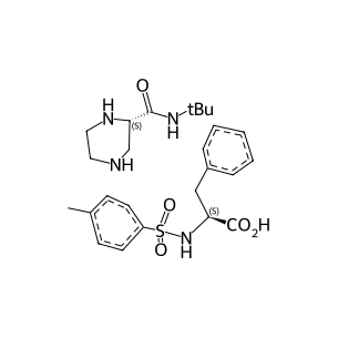 CC(C)(C)NC(=O)[C@@H]1CNCCN1.Cc1ccc(S(=O)(=O)N[C@@H](Cc2ccccc2)C(=O)O)cc1